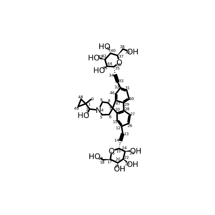 CC1(C(O)N2CCC3(CC2)c2cc(C#C[C@H]4O[C@H](CO)[C@@H](O)[C@H](O)[C@@H]4O)ccc2-c2ccc(C#C[C@H]4O[C@H](CO)[C@@H](O)[C@H](O)[C@@H]4O)cc23)CC1